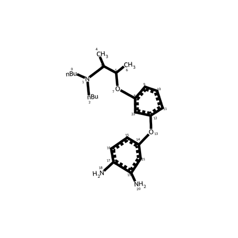 CCCCN(CCCC)C(C)C(C)Oc1cccc(Oc2ccc(N)c(N)c2)c1